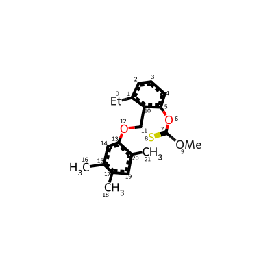 CCc1cccc(OC(=S)OC)c1COc1cc(C)c(C)cc1C